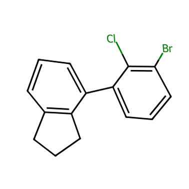 Clc1c(Br)cccc1-c1cccc2c1CCC2